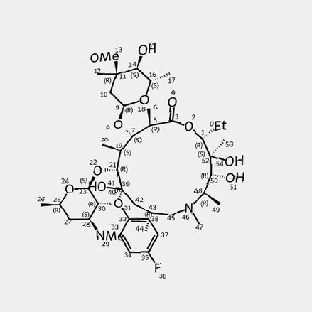 CC[C@H]1OC(=O)[C@H](C)[C@@H](O[C@H]2C[C@@](C)(OC)[C@@H](O)[C@H](C)O2)[C@H](C)[C@@H](O[C@@H]2O[C@H](C)C[C@H](NC)[C@H]2Oc2ccc(F)cc2)[C@](C)(O)C[C@@H](C)CN(C)[C@H](C)[C@@H](O)[C@]1(C)O